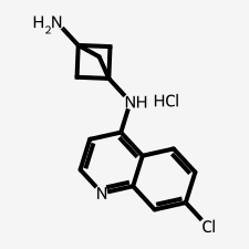 Cl.NC12CC(Nc3ccnc4cc(Cl)ccc34)(C1)C2